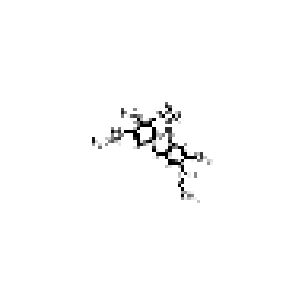 CCNc1cc2c(cc1C)Oc1c(cc(NCC)c(C)c1O[Cl+3]([O-])([O-])[O-])O2